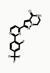 O=C1NCCn2nc(-c3ccnc(-c4ccc(C(F)(F)F)cc4F)n3)cc21